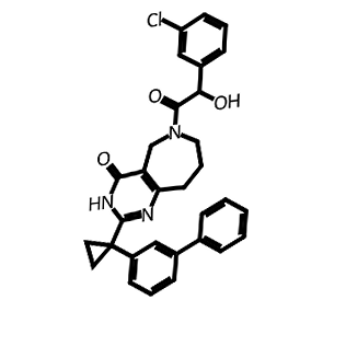 O=C(C(O)c1cccc(Cl)c1)N1CCCc2nc(C3(c4cccc(-c5ccccc5)c4)CC3)[nH]c(=O)c2C1